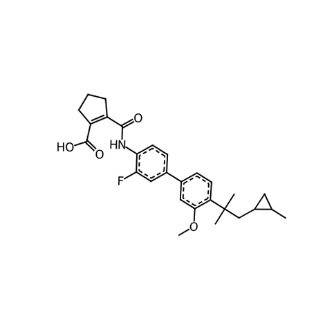 COc1cc(-c2ccc(NC(=O)C3=C(C(=O)O)CCC3)c(F)c2)ccc1C(C)(C)CC1CC1C